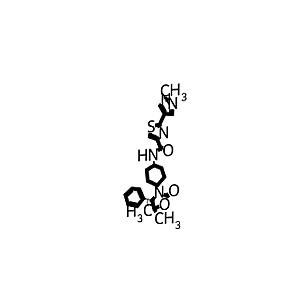 Cn1cc(-c2nc(C(=O)N[C@H]3CC[C@H](N4C(=O)OC(C)(C)[C@@H]4c4ccccc4)CC3)cs2)cn1